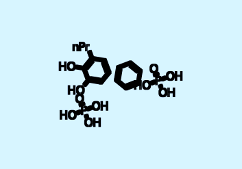 CCCc1cccc(O)c1O.O=P(O)(O)O.O=P(O)(O)O.c1ccccc1